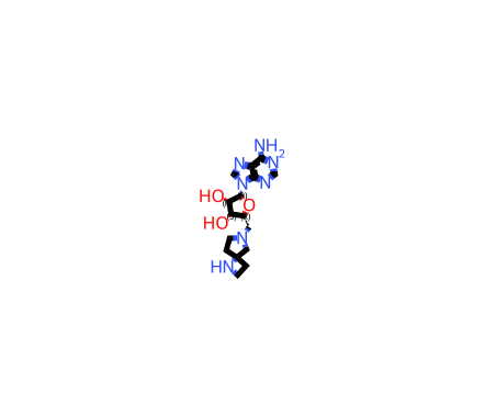 Nc1ncnc2c1ncn2[C@@H]1O[C@H](CN2CCC3(CCN3)C2)[C@@H](O)[C@H]1O